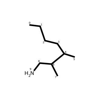 CCCCC(C)C(C)CN